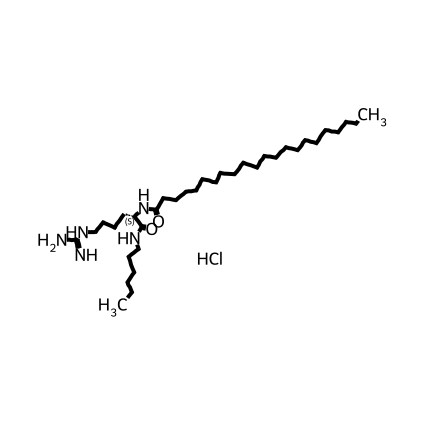 CCCCCCCCCCCCCCCCCCCCCC(=O)N[C@@H](CCCCNC(=N)N)C(=O)NCCCCCC.Cl